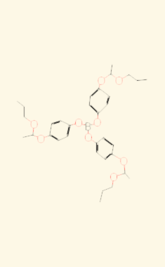 CCCOC(C)Oc1ccc(OB(Oc2ccc(OC(C)OCCC)cc2)Oc2ccc(OC(C)OCCC)cc2)cc1